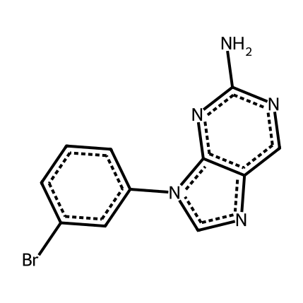 Nc1ncc2ncn(-c3cccc(Br)c3)c2n1